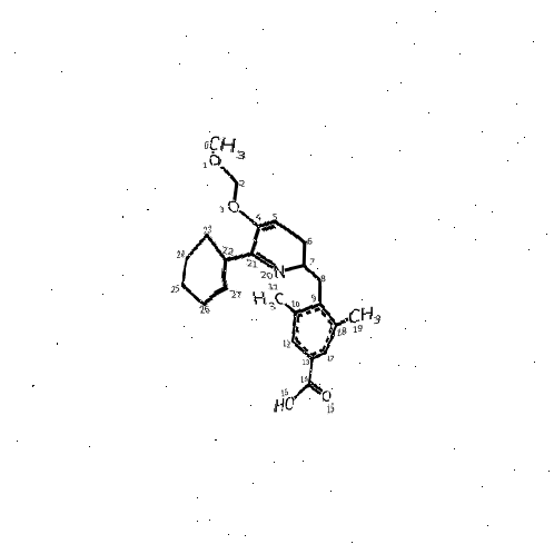 COCOC1=CCC(Cc2c(C)cc(C(=O)O)cc2C)N=C1C1CCCCC1